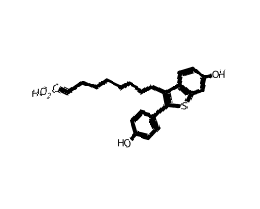 O=C(O)CCCCCCCCc1c(-c2ccc(O)cc2)sc2cc(O)ccc12